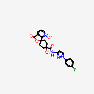 O=C1OC2(CCC(O)(C(=O)Nc3ccn(-c4ccc(F)cc4)n3)CC2)c2c1ccc[n+]2[O-]